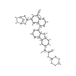 CN(C(=O)CN1CCOCC1)c1ccc2sc3c(-c4cccn5c(=O)cc(N6CC7CCC(C6)O7)nc45)cccc3c2c1